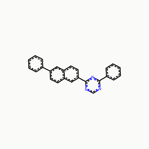 c1ccc(-c2ccc3cc(-c4ncnc(-c5ccccc5)n4)ccc3c2)cc1